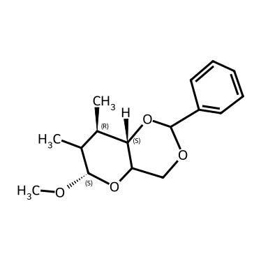 CO[C@H]1OC2COC(c3ccccc3)O[C@H]2[C@H](C)C1C